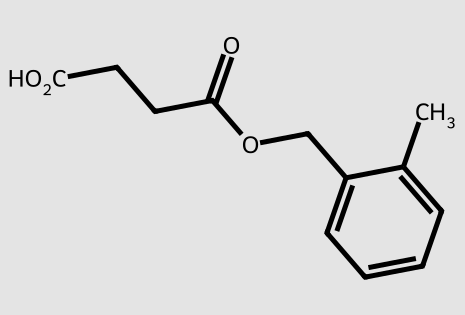 Cc1ccccc1COC(=O)CCC(=O)O